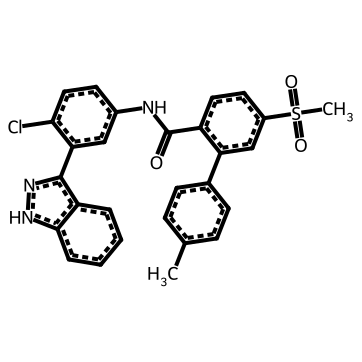 Cc1ccc(-c2cc(S(C)(=O)=O)ccc2C(=O)Nc2ccc(Cl)c(-c3n[nH]c4ccccc34)c2)cc1